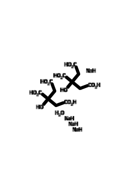 O.O=C(O)CC(O)(CC(=O)O)C(=O)O.O=C(O)CC(O)(CC(=O)O)C(=O)O.[NaH].[NaH].[NaH].[NaH]